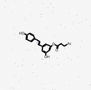 CC(=O)CCC(=O)Oc1cc(O)cc(/C=C/c2ccc(O)cc2)c1